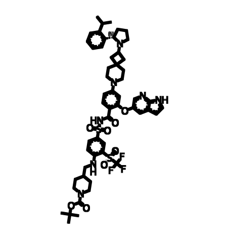 CC(C)c1ccccc1[C@@H]1CCCN1C1CC2(CCN(c3ccc(C(=O)NS(=O)(=O)c4ccc(NCC5CCN(C(=O)OC(C)(C)C)CC5)c(S(=O)(=O)C(F)(F)F)c4)c(Oc4cnc5[nH]ccc5c4)c3)CC2)C1